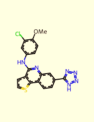 COc1ccc(Nc2nc3cc(-c4nnn[nH]4)ccc3c3sccc23)cc1Cl